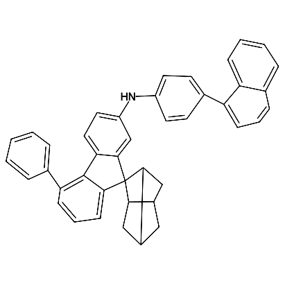 c1ccc(-c2cccc3c2-c2ccc(Nc4ccc(-c5cccc6ccccc56)cc4)cc2C32C3CC4CC3CC42)cc1